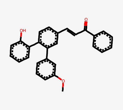 COc1cccc(-c2cc(C=CC(=O)c3ccccc3)ccc2-c2ccccc2O)c1